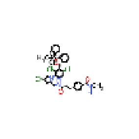 CNC(=O)c1ccc(/C=C/C(=O)NCc2cc(Cl)cn2-c2ccc(Cl)c(CO[Si](c3ccccc3)(c3ccccc3)C(C)(C)C)c2Cl)cc1